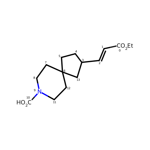 CCOC(=O)/C=C/C1CCC2(CCN(C(=O)O)CC2)C1